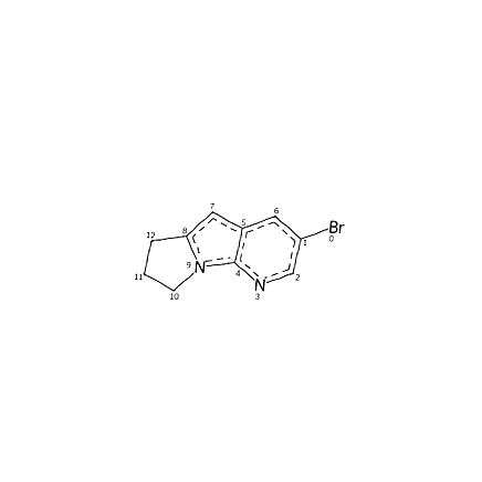 Brc1cnc2c(c1)cc1n2CCC1